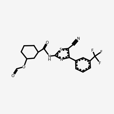 N#Cc1sc(NC(=O)C2CCCC(OC=O)C2)nc1-c1cccc(C(F)(F)F)c1